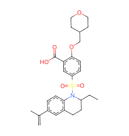 C=C(C)c1ccc2c(c1)CCC(CC)N2S(=O)(=O)c1ccc(OCC2CCOCC2)c(C(=O)O)c1